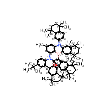 Cc1cc2c3c(c1)N(c1ccc(C(C)(C)C)cc1-c1cc4c(cc1C)C(C)(C)CCC4(C)C)c1oc4cc5c(cc4c1B3c1cc3c(cc1N2c1ccc2c(c1)C(C)(C)CCC2(C)C)C(C)(C)CCC3(C)C)C(C)(C)CCC5(C)C